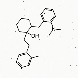 Cc1ccccc1CCC1(O)CCCCC1Cc1ccccc1N(C)C